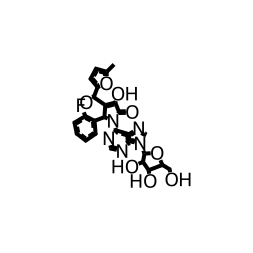 Cc1ccc(C(=O)C2=C(O)C(=O)N(c3ncnc4c3ncn4C3OC(CO)C(O)C3O)C2c2ccccc2F)o1